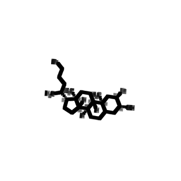 CC[C@@H]1C[C@@]2(C)C(CC[C@H]3[C@@H]4CC[C@H](C(C)CCCC(C)C)[C@@]4(C)CC[C@@H]32)C[C@H]1O